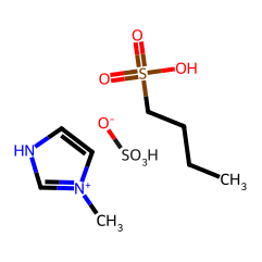 CCCCS(=O)(=O)O.C[n+]1cc[nH]c1.O=S(=O)([O-])O